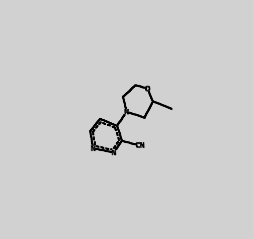 CC1CN(c2ccnnc2C#N)CCO1